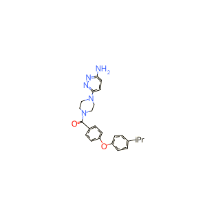 CC(C)c1ccc(Oc2ccc(C(=O)N3CCN(c4ccc(N)nn4)CC3)cc2)cc1